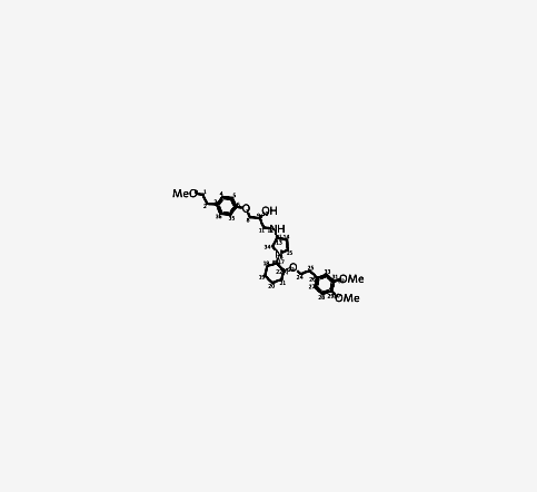 COCCc1ccc(OCC(O)CN[C@H]2CCN([C@@H]3CCCC[C@H]3OCCc3ccc(OC)c(OC)c3)C2)cc1